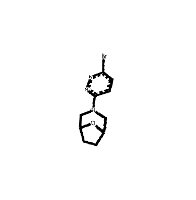 Brc1ccc(N2CC3CCC(C2)O3)nn1